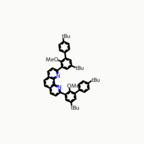 COc1c(-c2ccc(C(C)(C)C)cc2)cc(C(C)(C)C)cc1-c1ccc2ccc3ccc(-c4cc(C(C)(C)C)cc(-c5ccc(C(C)(C)C)cc5)c4OC)nc3c2n1